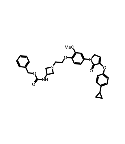 COc1cc(N2CC=C(Oc3ccc(C4CC4)cc3)C2=O)ccc1OCCN1CC(NC(=O)OCc2ccccc2)C1